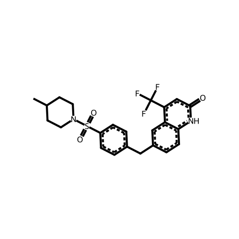 CC1CCN(S(=O)(=O)c2ccc(Cc3ccc4[nH]c(=O)cc(C(F)(F)F)c4c3)cc2)CC1